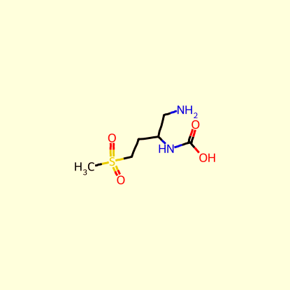 CS(=O)(=O)CCC(CN)NC(=O)O